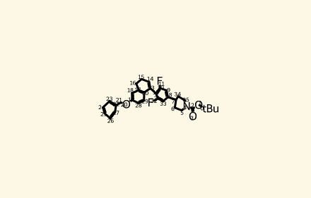 CC(C)(C)OC(=O)N1CCC(c2cc(F)c(C3=CCCc4cc(OCc5ccccc5)ccc43)c(F)c2)CC1